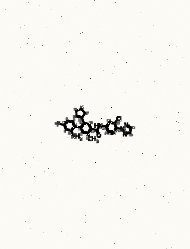 Cc1cc(-c2ccc(F)cc2N)c(C2=CCCC2)cc1C(=O)Nc1cnc(-n2nccn2)c(Cl)c1